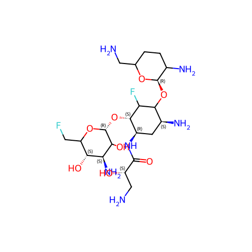 NCC1CCC(N)[C@@H](OC2C(F)[C@@H](O[C@H]3OC(CF)[C@@H](O)[C@H](N)C3O)[C@H](NC(=O)[C@@H](O)CN)C[C@@H]2N)O1